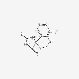 O=C1NC(=O)C2(CCOc3c(Br)cccc32)N1